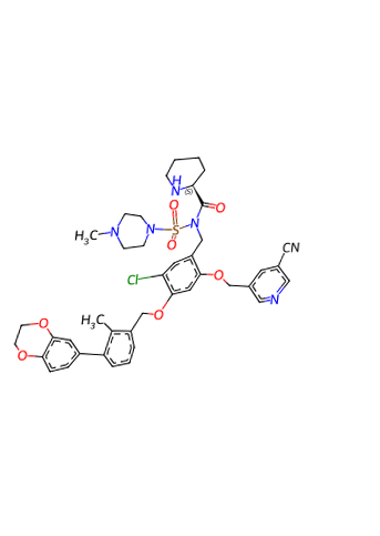 Cc1c(COc2cc(OCc3cncc(C#N)c3)c(CN(C(=O)[C@@H]3CCCCN3)S(=O)(=O)N3CCN(C)CC3)cc2Cl)cccc1-c1ccc2c(c1)OCCO2